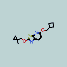 CC1(COc2nc3ccc(OCC4CCC4)nc3s2)CC1